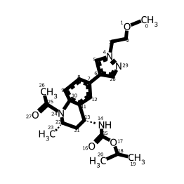 COCCn1cc(-c2ccc3c(c2)[C@H](NC(=O)OC(C)C)C[C@H](C)N3C(C)=O)cn1